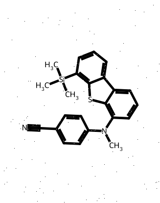 CN(c1ccc(C#N)cc1)c1cccc2c1sc1c([Si](C)(C)C)cccc12